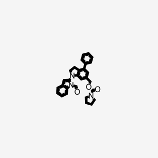 O=Cn1c(N2CCc3c(-c4ccccc4)cc(COC(=O)N4CCCC4)cc32)cc2ccccc21